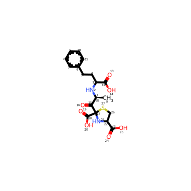 C[C@H](NC(CCc1ccccc1)C(=O)O)C(=O)C1(C(=O)O)NC(C(=O)O)CS1